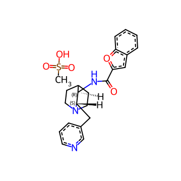 CS(=O)(=O)O.O=C(N[C@@H]1C2CCN(CC2)[C@H]1Cc1cccnc1)c1cc2ccccc2o1